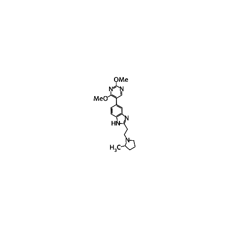 COc1ncc(-c2ccc3[nH]c(CCN4CCCC4C)nc3c2)c(OC)n1